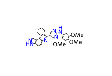 COc1cc(Nc2ncc(-c3nc4ccc5[nH]ncc5c4c4c3CCCC4)cn2)cc(OC)c1OC